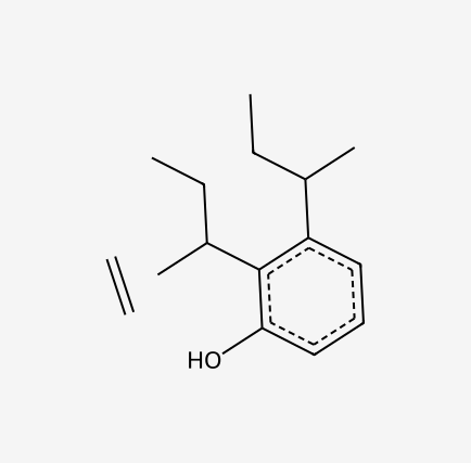 C=C.CCC(C)c1cccc(O)c1C(C)CC